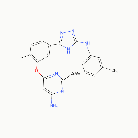 CSc1nc(N)cc(Oc2cc(-c3nnc(Nc4cccc(C(F)(F)F)c4)[nH]3)ccc2C)n1